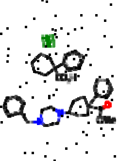 COC(=O)C1(c2ccccc2)CCC(N2CCN(Cc3ccccc3)CC2)CC1.Cl.Cl.O=C(O)C1(c2ccccc2)CCCCC1